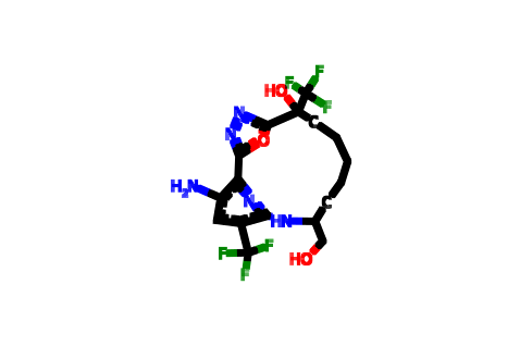 Nc1cc(C(F)(F)F)c2nc1-c1nnc(o1)C(O)(C(F)(F)F)CCCCCC(CO)N2